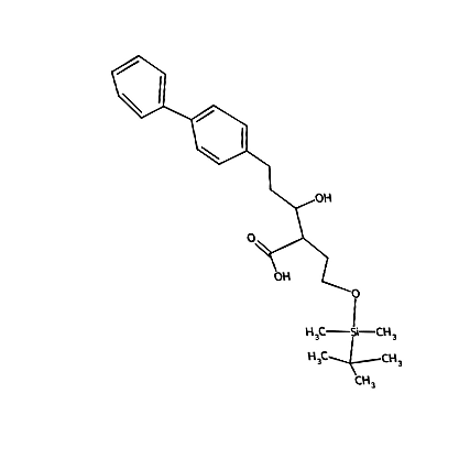 CC(C)(C)[Si](C)(C)OCCC(C(=O)O)C(O)CCc1ccc(-c2ccccc2)cc1